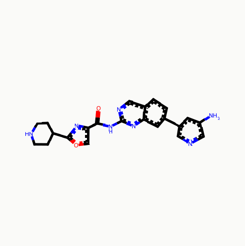 Nc1cncc(-c2ccc3cnc(NC(=O)c4coc(C5CCNCC5)n4)nc3c2)c1